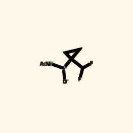 CC(=O)N[S+]([O-])C1(C(F)F)CC1